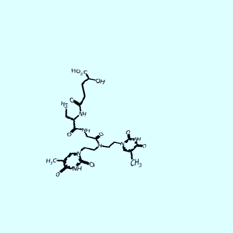 Cc1cn(CCN(CCn2cc(C)c(=O)[nH]c2=O)C(=O)CNC(=O)C(CS)NC(=O)CCC(O)C(=O)O)c(=O)[nH]c1=O